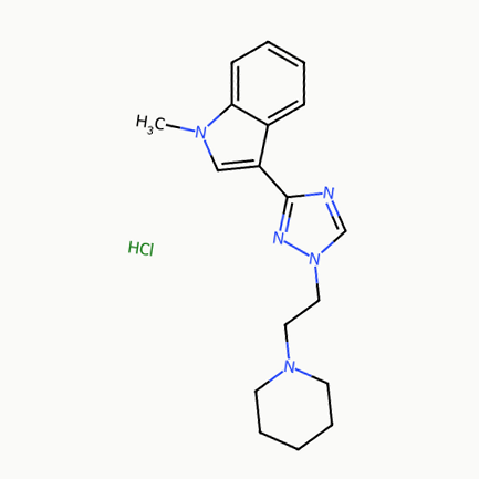 Cl.Cn1cc(-c2ncn(CCN3CCCCC3)n2)c2ccccc21